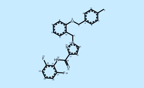 Cc1ccc(COc2ccccc2Cn2ccc(C(=O)Nc3c(F)cccc3F)n2)cc1